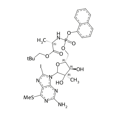 CSc1nc(N)nc2c1nc(I)n2C1O[C@H](COP(=O)(N[C@@H](C)C(=O)OCC(C)(C)C)Oc2cccc3ccccc23)[C@@H](O)[C@@]1(C)O